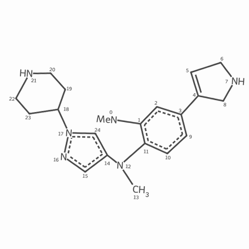 CNc1cc(C2=CCNC2)ccc1N(C)c1cnn(C2CCNCC2)c1